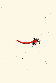 C=CCCCCCCCCCCCC=CCCCCCCCCCCC(CCC)(P(=O)=O)[N+](C)(C)C